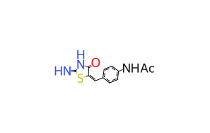 CC(=O)Nc1ccc(C=C2SC(=N)NC2=O)cc1